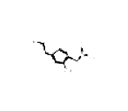 N#Cc1cc(CCBr)ccc1C[SH](=O)=O